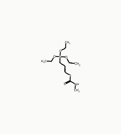 CCO[Si](CCCSC(=S)NC)(OCC)OCC